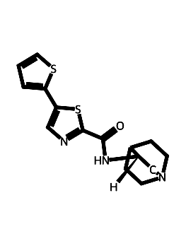 O=C(N[C@H]1CN2CCC1CC2)c1ncc(-c2cccs2)s1